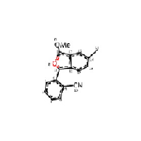 COc1oc(-c2ccccc2C#N)c2ccc(C)cc12